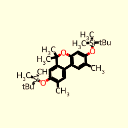 Cc1cc2c(cc1O[Si](C)(C)C(C)(C)C)OC(C)(C)c1cc(O[Si](C)(C)C(C)(C)C)c(C)cc1-2